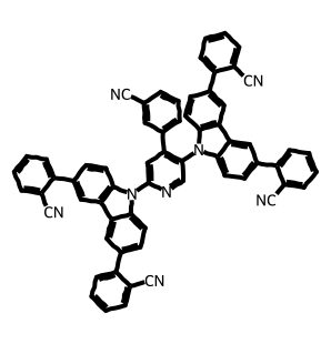 N#Cc1cccc(-c2cc(-n3c4ccc(-c5ccccc5C#N)cc4c4cc(-c5ccccc5C#N)ccc43)ncc2-n2c3ccc(-c4ccccc4C#N)cc3c3cc(-c4ccccc4C#N)ccc32)c1